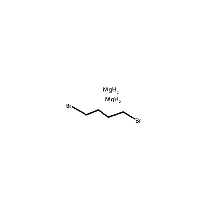 BrCCCCBr.[MgH2].[MgH2]